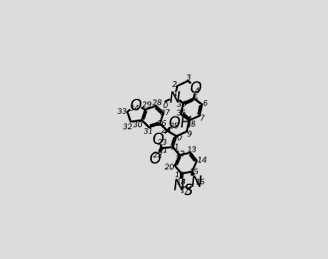 CN1CCOc2ccc(CC3=C(c4ccc5nsnc5c4)C(=O)OC3(O)c3ccc4c(c3)CCO4)cc21